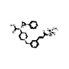 CS(=O)(=O)NC(=O)C=Cc1cccc(CN2CCC(N(C(=O)O)[C@@H]3C[C@H]3c3ccccc3)CC2)c1